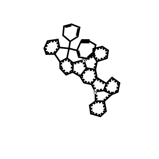 C1#CC(C2(C3C=CC=CC3)c3ccccc3-c3ccc4c5cc6c(c7cccc8c9ccccc9n6c87)c6c7ccccc7n(c4c32)c56)=CC=CC1